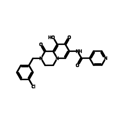 O=C(Nc1cn2c(c(O)c1=O)C(=O)N(Cc1cccc(Cl)c1)CC2)c1ccncc1